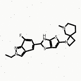 CCn1cc2cc(C3Nc4sc(N5CCC56CCCN(C)C6)cc4S3)cc(F)c2n1